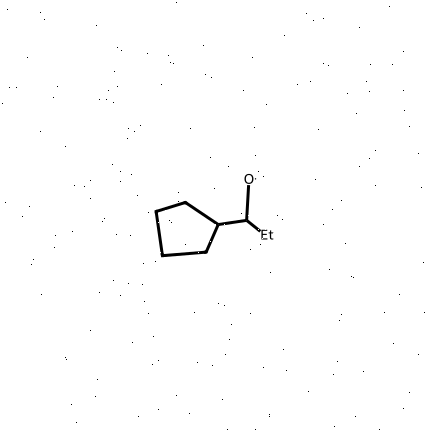 CCC([O])C1CCCC1